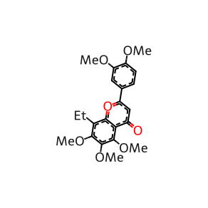 CCc1c(OC)c(OC)c(OC)c2c(=O)cc(-c3ccc(OC)c(OC)c3)oc12